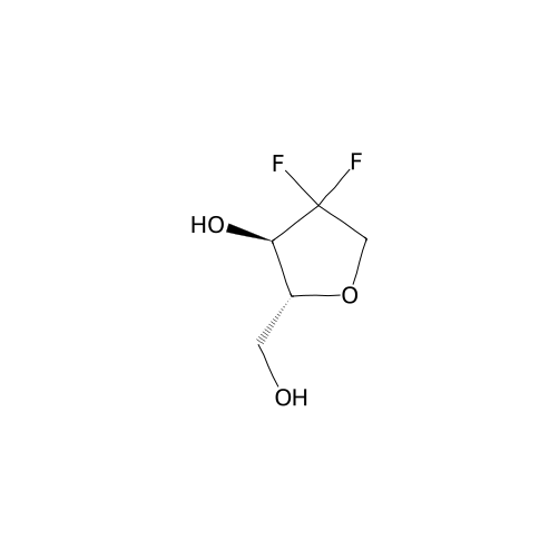 OC[C@H]1OCC(F)(F)[C@@H]1O